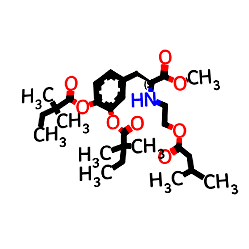 CCC(C)(C)C(=O)Oc1ccc(C[C@H](NCCOC(=O)CC(C)C)C(=O)OC)cc1OC(=O)C(C)(C)CC